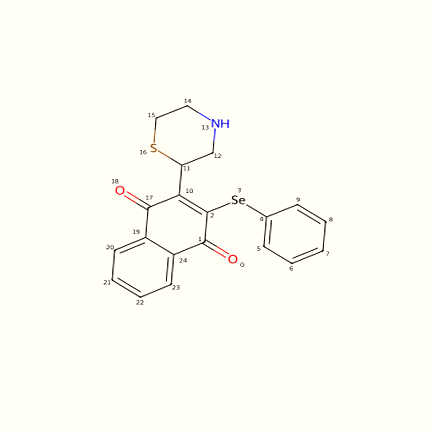 O=C1C([Se]c2ccccc2)=C(C2CNCCS2)C(=O)c2ccccc21